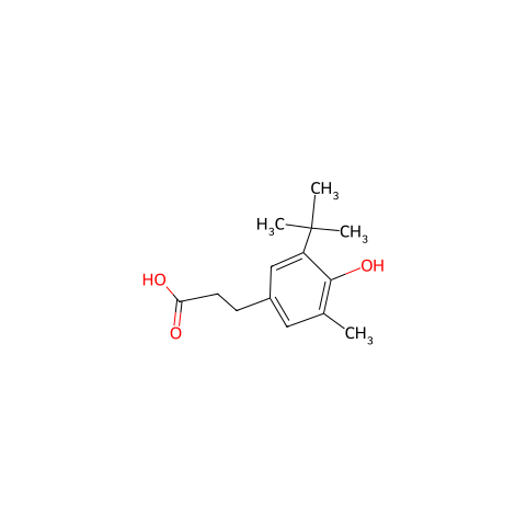 Cc1cc(CCC(=O)O)cc(C(C)(C)C)c1O